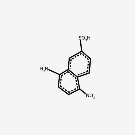 Nc1ccc([N+](=O)[O-])c2ccc(S(=O)(=O)O)cc12